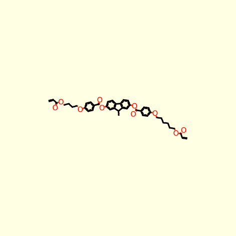 C=CC(=O)OCCCCCCOc1ccc(C(=O)Oc2ccc3c(c2)C(C)c2cc(OC(=O)c4ccc(OCCCCOC(=O)C=C)cc4)ccc2-3)cc1